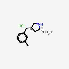 Cc1cccc(C[C@H]2CN[C@H](C(=O)O)C2)c1.Cl